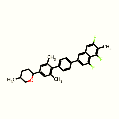 Cc1cc(C2CCC(C)CO2)cc(C)c1-c1ccc(-c2cc(F)c3c(F)c(C)c(F)cc3c2)cc1